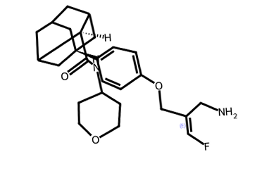 NC/C(=C\F)COc1ccc([C@]23CC4CC(C2)[C@H](C(=O)NC2CCOCC2)C(C4)C3)cc1